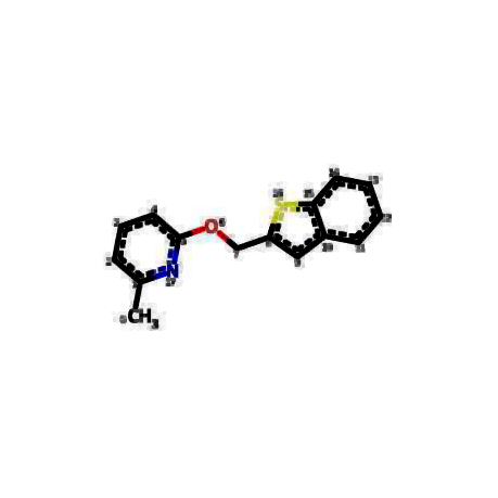 Cc1cccc(OCc2cc3ccccc3s2)n1